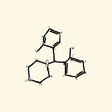 Cc1ccccc1C(c1ccccc1C)N1CC[N]CC1